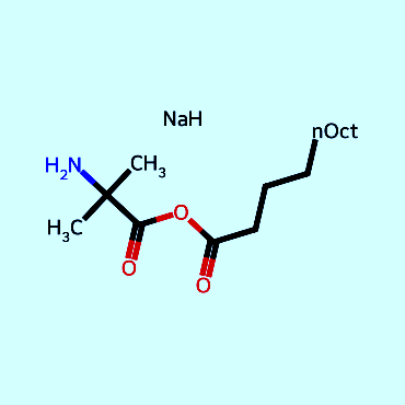 CCCCCCCCCCCC(=O)OC(=O)C(C)(C)N.[NaH]